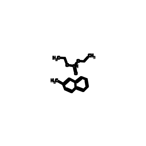 CCO[PH](=O)OCC.Cc1ccc2ccccc2c1